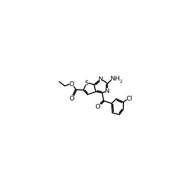 CCOC(=O)c1cc2c(C(=O)c3cccc(Cl)c3)nc(N)nc2s1